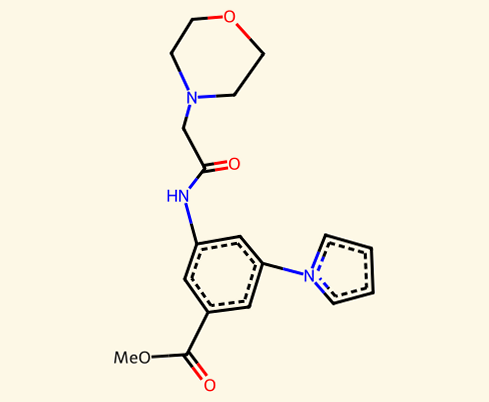 COC(=O)c1cc(NC(=O)CN2CCOCC2)cc(-n2cccc2)c1